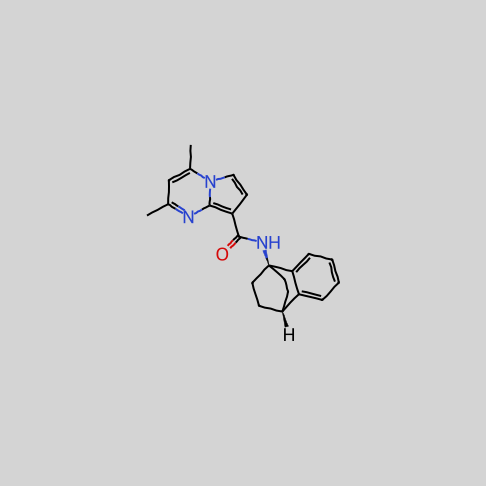 Cc1cc(C)n2ccc(C(=O)N[C@]34CC[C@H](CC3)c3ccccc34)c2n1